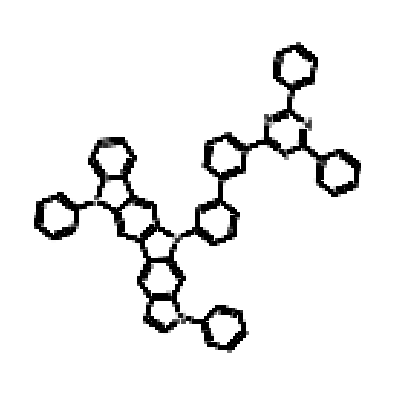 c1ccc(-c2nc(-c3ccccc3)nc(-c3cccc(-c4cccc(-n5c6cc7c8ccccc8n(-c8ccccc8)c7cc6c6cc7ccn(-c8ccccc8)c7cc65)c4)c3)n2)cc1